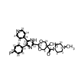 CN1CCN(C(=O)C2(C)COC(c3nc(-c4ccc(F)cc4)c(-c4ccncc4)[nH]3)OC2)CC1